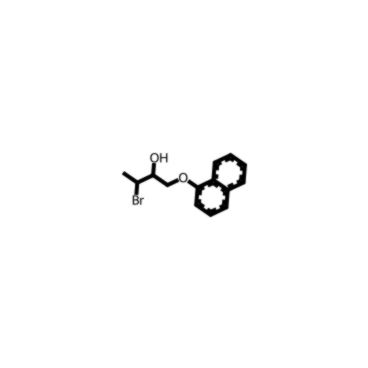 CC(Br)C(O)COc1cccc2ccccc12